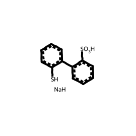 O=S(=O)(O)c1ccccc1-c1ccccc1S.[NaH]